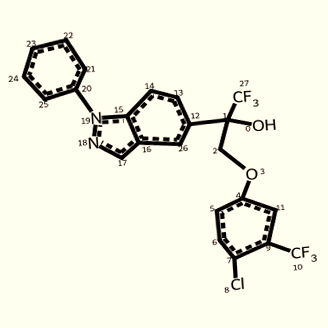 OC(COc1ccc(Cl)c(C(F)(F)F)c1)(c1ccc2c(cnn2-c2ccccc2)c1)C(F)(F)F